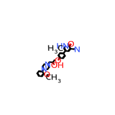 COc1ccccc1N1CCN(CC(O)COc2ccc(-c3cc(C#N)c(=O)[nH]c3C)cc2)CC1